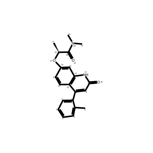 Cc1ccccc1-c1cc(=O)[nH]c2cc(O[C@@H](C)C(=O)N(C)C)ccc12